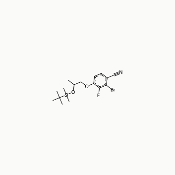 CC(COc1ccc(C#N)c(Br)c1F)O[Si](C)(C)C(C)(C)C